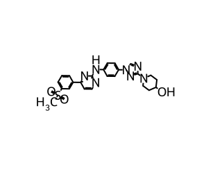 CS(=O)(=O)c1cccc(-c2ccnc(Nc3ccc(-n4cnc(N5CCC(O)CC5)n4)cc3)n2)c1